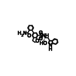 NC(=O)c1ccccc1-c1cc2c(c(S(=O)(=O)N[C@@H](CO)Cc3c[nH]c4ccccc34)c1)OCC2